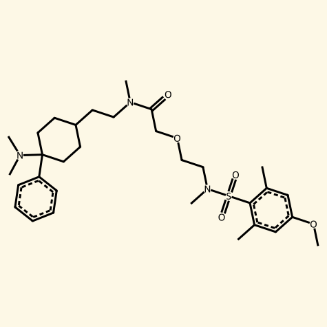 COc1cc(C)c(S(=O)(=O)N(C)CCOCC(=O)N(C)CCC2CCC(c3ccccc3)(N(C)C)CC2)c(C)c1